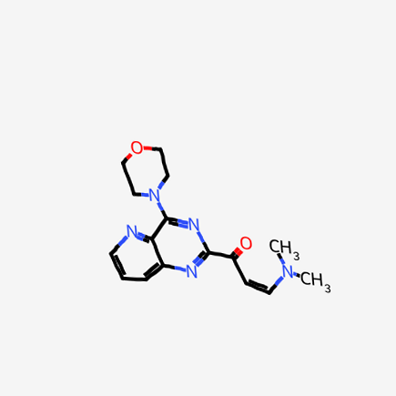 CN(C)/C=C\C(=O)c1nc(N2CCOCC2)c2ncccc2n1